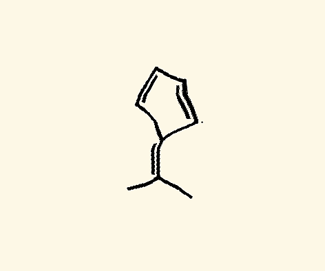 CC(C)=C1[C]=CC=C1